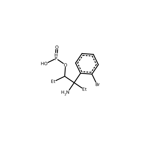 CCC(O[PH](=O)O)C(N)(CC)c1ccccc1Br